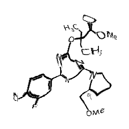 COC[C@@H]1CCCN1c1nc(OC(C)(C)C(=O)OC)nc(-c2ccc(Cl)c(F)c2)n1